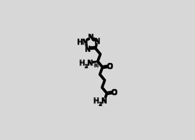 NC(=O)CCCC(=O)[C@@H](N)Cc1nn[nH]n1